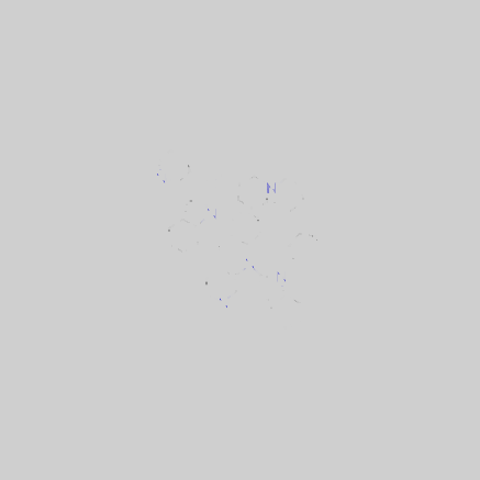 C(=C1\c2cccnc2-c2c1n1c3c(cccc23)B2c3c-1cc(-c1ccccn1)cc3-n1c3c2ccnc3c2c3ccccc3n(-c3ccccc3)c21)/c1ccccc1